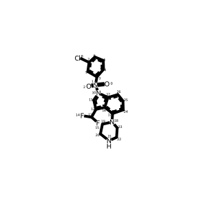 O=S(=O)(c1cccc(Cl)c1)n1cc(C(F)F)c2c(N3CCNCC3)cccc21